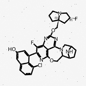 Oc1cc(-c2nc3c4c(nc(OC[C@@]56CCCN5C[C@H](F)C6)nc4c2F)N2CC4CCC(N4)C2CO3)c2c(Cl)cccc2c1